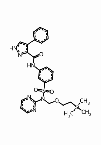 C[Si](C)(C)CCOCN(c1ncccn1)S(=O)(=O)c1cccc(NC(=O)c2n[nH]cc2-c2ccccc2)c1